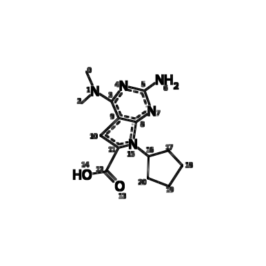 CN(C)c1nc(N)nc2c1cc(C(=O)O)n2C1CCCC1